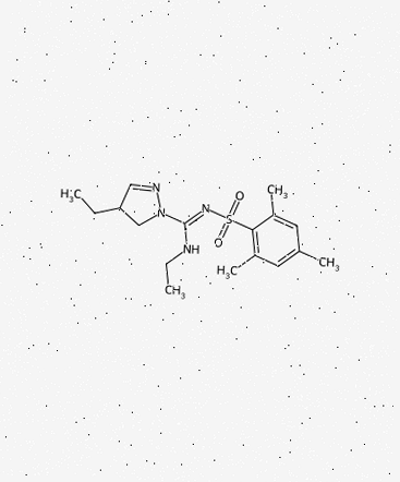 CCN/C(=N\S(=O)(=O)c1c(C)cc(C)cc1C)N1CC(CC)C=N1